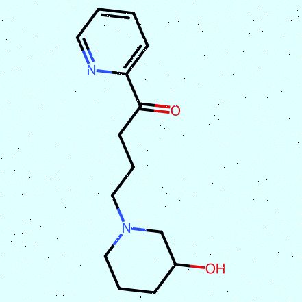 O=C(CCCN1CCCC(O)C1)c1ccccn1